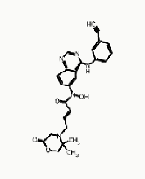 C#Cc1cccc(Nc2ncnc3ccc(N(O)C(=O)C=CCN4CC(=O)OCC4(C)C)cc23)c1